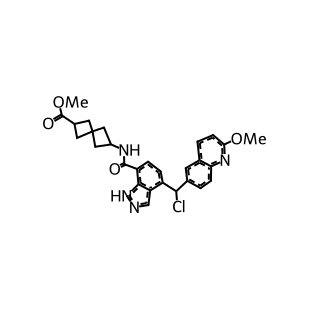 COC(=O)C1CC2(CC(NC(=O)c3ccc(C(Cl)c4ccc5nc(OC)ccc5c4)c4cn[nH]c34)C2)C1